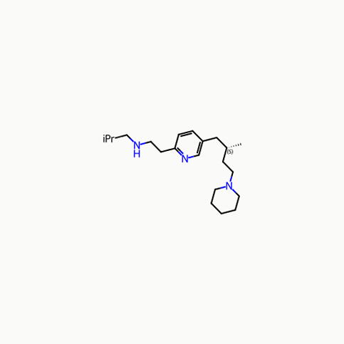 CC(C)CNCCc1ccc(C[C@H](C)CCN2CCCCC2)cn1